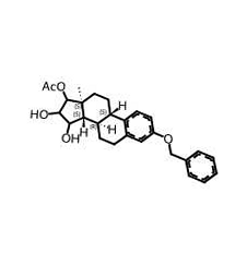 CC(=O)OC1C(O)C(O)[C@H]2[C@@H]3CCc4cc(OCc5ccccc5)ccc4[C@H]3CC[C@]12C